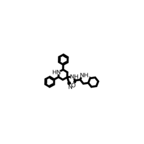 N#CC1(NC(=O)C(N)CC2CCCCC2)CC(c2ccccc2)NC(c2ccccc2)C1